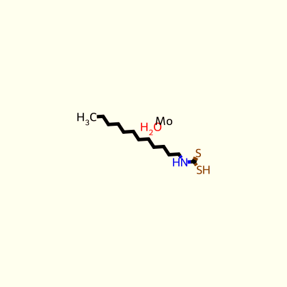 CCCCCCCCCCCCNC(=S)S.O.[Mo]